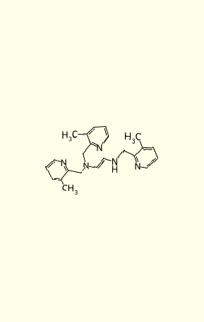 Cc1cccnc1CNC=CN(Cc1ncccc1C)Cc1ncccc1C